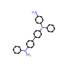 CN(c1ccccc1)c1ccc(-c2ccc(N(c3ccccc3)c3ccc(N)cc3)cc2)cc1